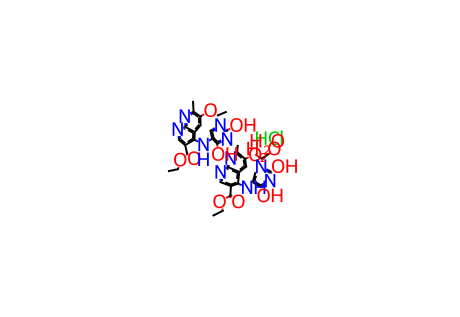 CCOC(=O)c1cnc2nc(C)c(OCC)cc2c1Nc1cnc(O)nc1O.CCOC(=O)c1cnc2nc(C)c(OCC)cc2c1Nc1cnc(O)nc1O.Cl.O.O